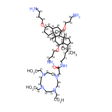 C[C@H](CCCNC(=O)CN1CCN(CC(=O)O)CCN(CC(=O)O)CCN(CC(=O)O)CC1)C1CC[C@H]2C3[C@H](OCCCN)CC4C[C@H](OCCCN)CC[C@]4(C)[C@H]3C[C@H](OCCCN)[C@]12C